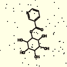 O=C(OC1C(O)C(O)C(O)C(O)C1O)c1cccnc1